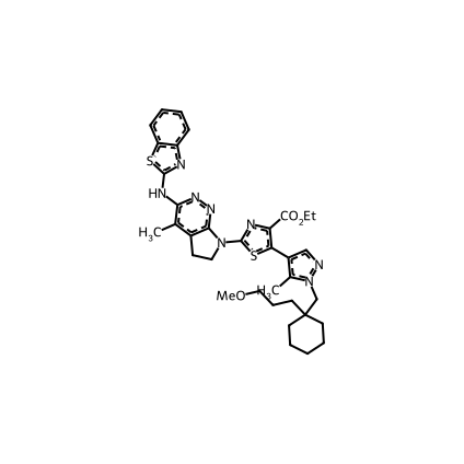 CCOC(=O)c1nc(N2CCc3c2nnc(Nc2nc4ccccc4s2)c3C)sc1-c1cnn(CC2(CCCOC)CCCCC2)c1C